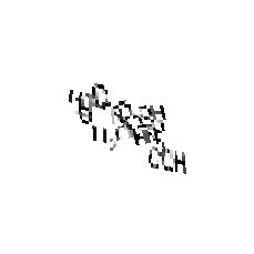 Cc1nc(C(=O)NCC(=O)O)c(O)c2ccc(-c3cccc([N+](=O)[O-])c3)nc12